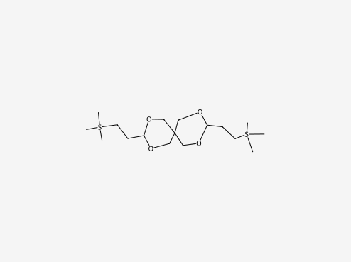 CS(C)(C)CCC1OCC2(CO1)COC(CCS(C)(C)C)OC2